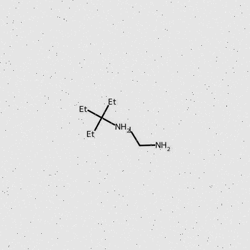 CCC(N)(CC)CC.NCI